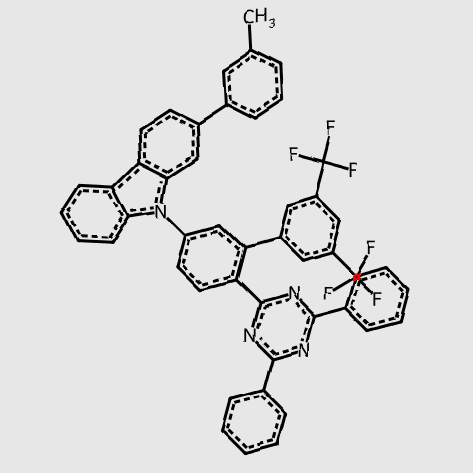 Cc1cccc(-c2ccc3c4ccccc4n(-c4ccc(-c5nc(-c6ccccc6)nc(-c6ccccc6)n5)c(-c5cc(C(F)(F)F)cc(C(F)(F)F)c5)c4)c3c2)c1